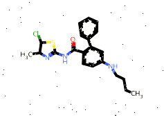 CCCCNc1ccc(C(=O)NC2=NC(C)C(Cl)S2)c(-c2ccccc2)c1